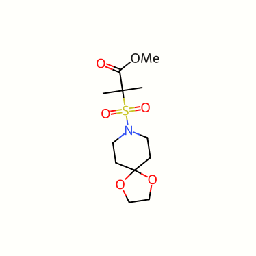 COC(=O)C(C)(C)S(=O)(=O)N1CCC2(CC1)OCCO2